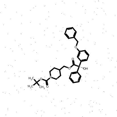 CC(C)(C)OC(=O)N1CCC(COC(=O)[C@](O)(c2ccccc2)c2cccc(OCc3ccccc3)c2)CC1